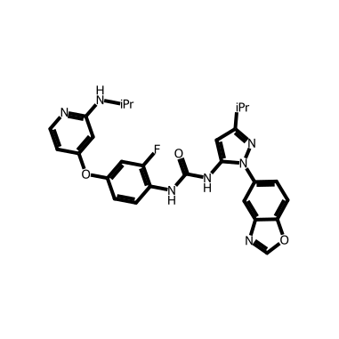 CC(C)Nc1cc(Oc2ccc(NC(=O)Nc3cc(C(C)C)nn3-c3ccc4ocnc4c3)c(F)c2)ccn1